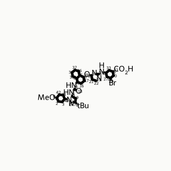 COc1ccc(-n2nc(C(C)(C)C)cc2NC(=O)Nc2ccc(Oc3ccnc(Nc4cc(Br)cc(C(=O)O)c4)n3)c3ccccc23)cc1